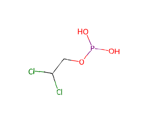 OP(O)OCC(Cl)Cl